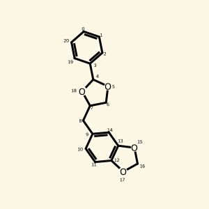 c1ccc(C2OCC(Cc3ccc4c(c3)OCO4)O2)cc1